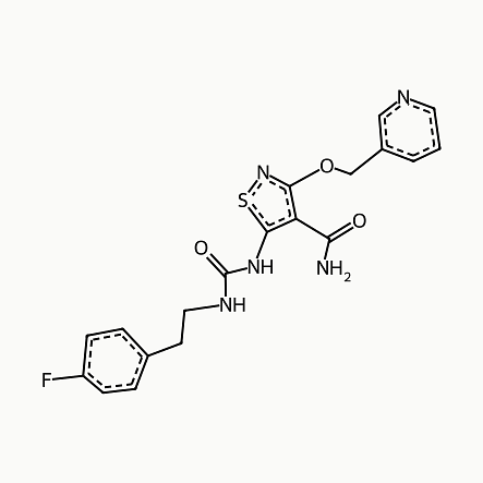 NC(=O)c1c(OCc2cccnc2)nsc1NC(=O)NCCc1ccc(F)cc1